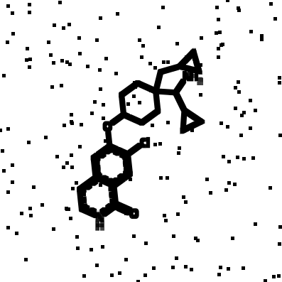 NC(C1CC1)C1(CC2CC2)CCC(Oc2cc3cc[nH]c(=O)c3cc2Cl)CC1